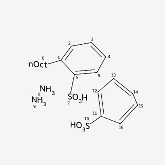 CCCCCCCCc1ccccc1S(=O)(=O)O.N.N.O=S(=O)(O)c1ccccc1